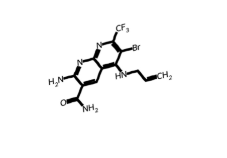 C=CCNc1c(Br)c(C(F)(F)F)nc2nc(N)c(C(N)=O)cc12